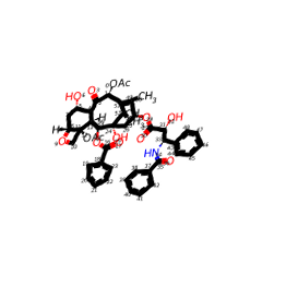 CC(=O)O[C@H]1C(=O)C2[C@@H](O)C[C@H]3OC[C@@]3(OC(C)=O)[C@@H]2[C@H](OC(=O)c2ccccc2)[C@]2(O)C[C@H](OC(=O)[C@H](O)[C@@H](NC(=O)c3ccccc3)c3ccccc3)C(C)=C1C2(C)C